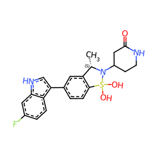 C[C@H]1c2cc(-c3c[nH]c4cc(F)ccc34)ccc2S(O)(O)N1C1CCNC(=O)C1